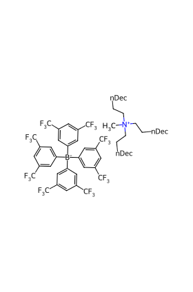 CCCCCCCCCCCC[N+](C)(CCCCCCCCCCCC)CCCCCCCCCCCC.FC(F)(F)c1cc([B-](c2cc(C(F)(F)F)cc(C(F)(F)F)c2)(c2cc(C(F)(F)F)cc(C(F)(F)F)c2)c2cc(C(F)(F)F)cc(C(F)(F)F)c2)cc(C(F)(F)F)c1